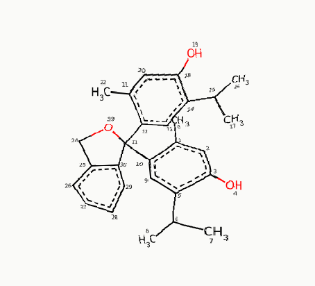 Cc1cc(O)c(C(C)C)cc1C1(c2cc(C(C)C)c(O)cc2C)OCc2ccccc21